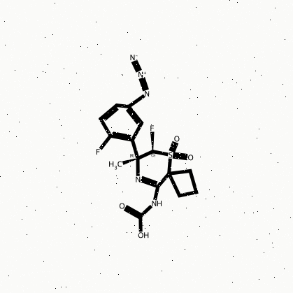 C[C@]1(c2cc(N=[N+]=[N-])ccc2F)N=C(NC(=O)O)C2(CCC2)S(=O)(=O)[C@@H]1F